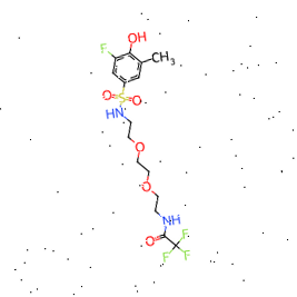 Cc1cc(S(=O)(=O)NCCOCCOCCNC(=O)C(F)(F)F)cc(F)c1O